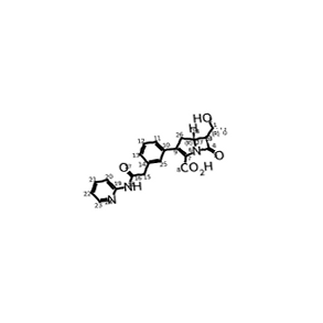 C[C@@H](O)[C@H]1C(=O)N2C(C(=O)O)=C(c3cccc(CC(=O)Nc4ccccn4)c3)C[C@H]12